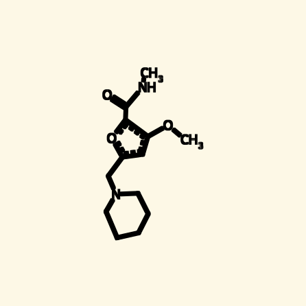 CNC(=O)c1oc(CN2CCCCC2)cc1OC